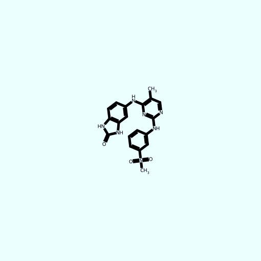 Cc1cnc(Nc2cccc(S(C)(=O)=O)c2)nc1Nc1ccc2[nH]c(=O)[nH]c2c1